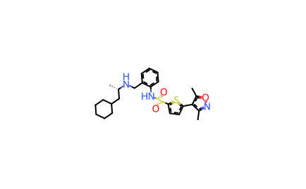 Cc1noc(C)c1-c1ccc(S(=O)(=O)Nc2ccccc2CN[C@@H](C)CC2CCCCC2)s1